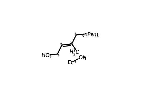 CCCCCC/C(C)=C/CO.CCO